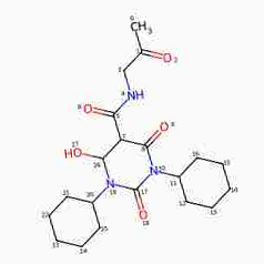 CC(=O)CNC(=O)C1C(=O)N(C2CCCCC2)C(=O)N(C2CCCCC2)C1O